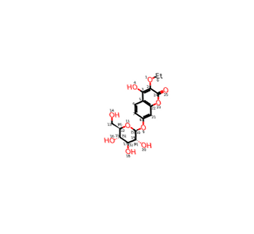 CCOc1c(O)c2ccc(O[C@@H]3O[C@H](CO)[C@@H](O)[C@H](O)[C@H]3O)cc2oc1=O